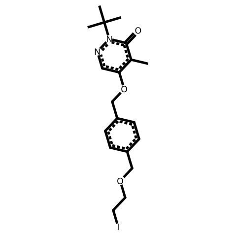 Cc1c(OCc2ccc(COCCI)cc2)cnn(C(C)(C)C)c1=O